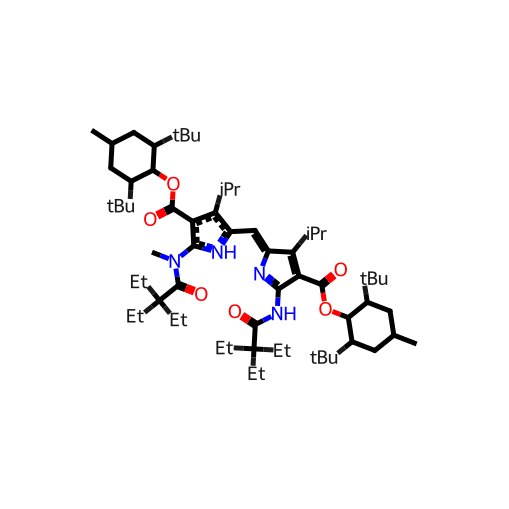 CCC(CC)(CC)C(=O)NC1=N/C(=C\c2[nH]c(N(C)C(=O)C(CC)(CC)CC)c(C(=O)OC3C(C(C)(C)C)CC(C)CC3C(C)(C)C)c2C(C)C)C(C(C)C)=C1C(=O)OC1C(C(C)(C)C)CC(C)CC1C(C)(C)C